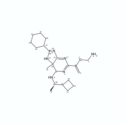 C=C(OCN)C1=NC(N[C@H](C)C2CCC2)C(C)(NCC2CCCCC2)C(N)=N1